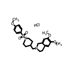 COc1ccc(S(=O)(=O)N2CCC(CN3CCc4cc(OC)c(OC)cc4C3)CC2)cc1.Cl